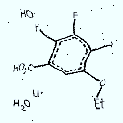 CCOc1cc(C(=O)O)c(F)c(F)c1I.O.[Li+].[OH-]